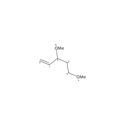 C=CC([CH]COC)OC